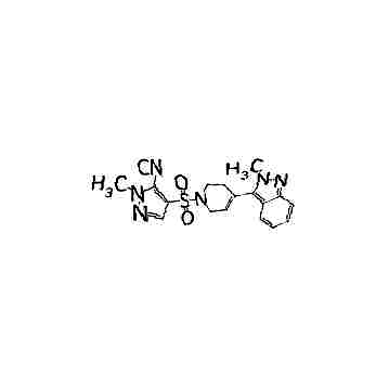 Cn1ncc(S(=O)(=O)N2CC=C(c3c4ccccc4nn3C)CC2)c1C#N